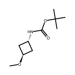 CO[C@H]1C[C@H](NC(=O)OC(C)(C)C)C1